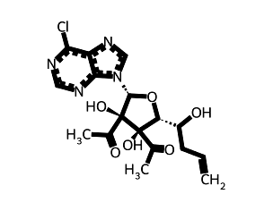 C=CCC(O)[C@H]1O[C@@H](n2cnc3c(Cl)ncnc32)[C@@](O)(C(C)=O)[C@@]1(O)C(C)=O